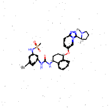 CC(C)N1CCC[C@@]1(C)c1nnc2ccc(O[C@@H]3CC[C@H](NC(=O)Nc4cc(NS(C)(=O)=O)cc(C(C)(C)C)c4)c4ccccc43)cn12